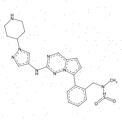 CN(Cc1ccccc1-c1ccc2cnc(Nc3cnn(C4CCNCC4)c3)nn12)[SH](=O)=O